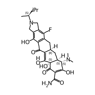 CC(C)[C@H](C)N1Cc2c(O)c3c(c(F)c2C1)C[C@H]1C[C@H]2[C@H](N(C)C)C(O)=C(C(N)=O)C(=O)[C@@]2(O)C(O)=C1C3=O